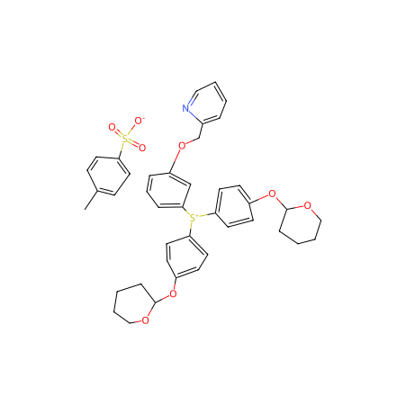 Cc1ccc(S(=O)(=O)[O-])cc1.c1ccc(COc2cccc([S+](c3ccc(OC4CCCCO4)cc3)c3ccc(OC4CCCCO4)cc3)c2)nc1